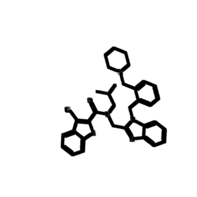 CC(C)CN(Cc1nc2ccccc2n1Cc1ccccc1CN1CCCCC1)C(=O)c1sc2ccccc2c1Cl